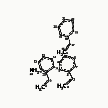 C=Cc1ccccc1.C=Cc1ccccc1.C=Cc1ccccc1.N